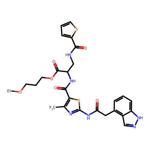 CCOCCCOC(=O)C(CNC(=O)c1cccs1)NC(=O)c1sc(NC(=O)Cc2cccc3[nH]ncc23)nc1C(F)(F)F